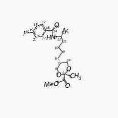 COC(=O)[C@]1(C)OC[C@H](CCCCC(NC(=O)c2ccc(F)cc2)C(C)=O)CO1